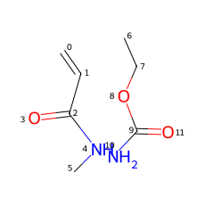 C=CC(=O)NC.CCOC(N)=O